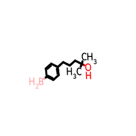 Bc1ccc(CCCC(C)(C)O)cc1